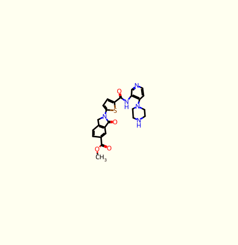 COC(=O)c1ccc2c(c1)C(=O)N(c1ccc(C(=O)Nc3cnccc3N3CCNCC3)s1)C2